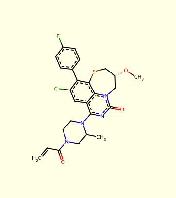 C=CC(=O)N1CCN(c2nc(=O)n3c4c(c(-c5ccc(F)cc5)c(Cl)cc24)SC[C@H](OC)C3)C(C)C1